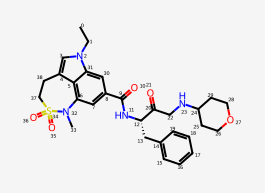 CCn1cc2c3c(cc(C(=O)N[C@@H](Cc4ccccc4)C(=O)CNC4CCOCC4)cc31)N(C)S(=O)(=O)CC2